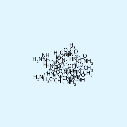 CC(C)[C@H](NC(=O)[C@H](CCCCN)NC(=O)[C@H](CCCNC(=N)N)NC(=O)[C@@H]1CCCN1C(=O)[C@H](C)NC(=O)[C@H](C)NC(=O)[C@H](CCC(N)=O)NC(=O)[C@@H]1CCCN1C(=O)[C@@H](NC(=O)[C@@H]1CCCN1)C(C)C)C(=O)N[C@@H](C)C(=O)N[C@@H](C)C(=O)N[C@@H](CCC(N)=O)C(=O)O